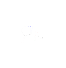 O=C1C=NSC1.[Na+].[O-]Cl